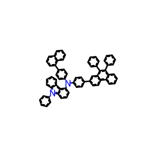 c1ccc(-c2c(-c3ccccc3)c3cc(-c4ccc(N(c5ccc(-c6cccc7ccccc67)cc5)c5cccc6c5c5ccccc5n6-c5ccccc5)cc4)ccc3c3ccccc23)cc1